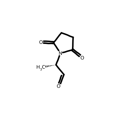 C[C@@H](C=O)N1C(=O)CCC1=O